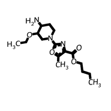 CCCCOC(=O)c1nc(N2CCC(N)C(OCC)C2)oc1C